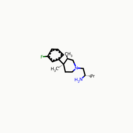 CC(C)[C@H](N)CN1CC[C@@](C)(c2cccc(F)c2)[C@@H](C)C1